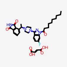 CCCCCCCCCC(=O)n1nc(N2CCN(C(C)c3cccc4c3C(=O)NC4=O)CC2)c2ccc(F)cc21.O=C(O)C=CC(=O)O